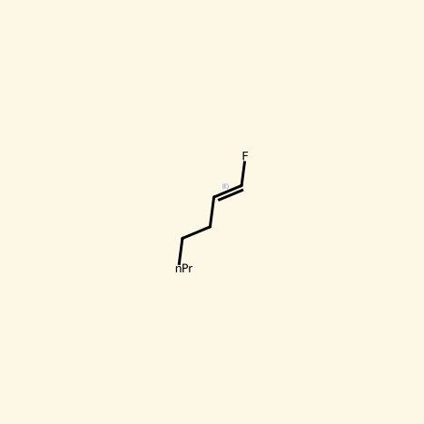 CCCCC/C=C/F